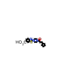 O=C(O)c1ccc2nc(N3CCN(C(=O)CCC4CCCC4)CC3)sc2c1